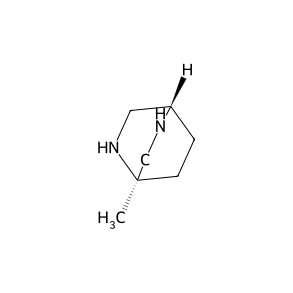 C[C@]12CC[C@@H](CN1)NC2